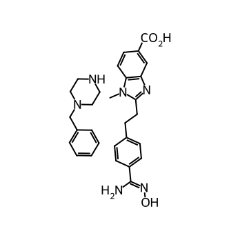 Cn1c(CCc2ccc(C(N)=NO)cc2)nc2cc(C(=O)O)ccc21.c1ccc(CN2CCNCC2)cc1